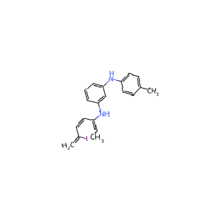 C=C(I)/C=C\C(=C/C)Nc1cccc(Nc2ccc(C)cc2)c1